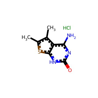 Cc1sc2[nH]c(=O)nc(N)c2c1C.Cl